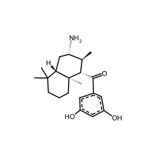 C[C@@H]1[C@@H](N)C[C@H]2C(C)(C)CCC[C@]2(C)[C@H]1C(=O)c1cc(O)cc(O)c1